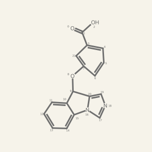 O=C(O)c1cccc(OC2c3ccccc3-n3cncc32)c1